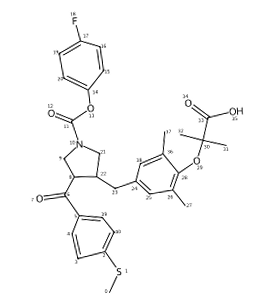 CSc1ccc(C(=O)C2CN(C(=O)Oc3ccc(F)cc3)CC2Cc2cc(C)c(OC(C)(C)C(=O)O)c(C)c2)cc1